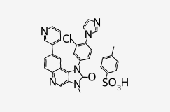 Cc1ccc(S(=O)(=O)O)cc1.Cn1c(=O)n(-c2ccc(-n3ccnc3)c(Cl)c2)c2c3cc(-c4cccnc4)ccc3ncc21